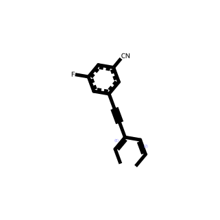 C/C=C\C(C#Cc1cc(F)cc(C#N)c1)=C/C